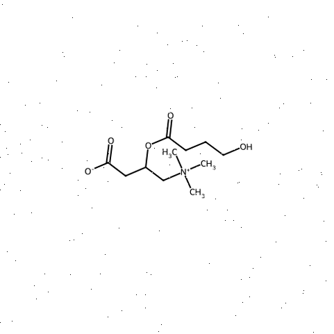 C[N+](C)(C)CC(CC(=O)[O-])OC(=O)CCCO